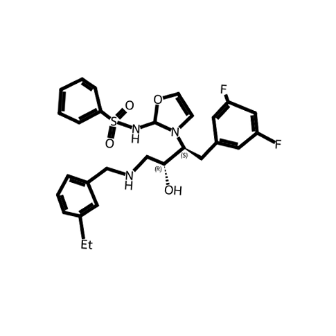 CCc1cccc(CNC[C@@H](O)[C@H](Cc2cc(F)cc(F)c2)N2C=COC2NS(=O)(=O)c2ccccc2)c1